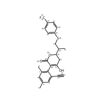 C#Cc1cc(C)cc(C)c1C1=C(O)CC(C(C)CSc2ccc(C(F)(F)F)cc2)OC1=O